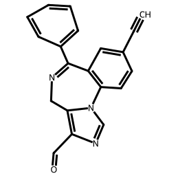 C#Cc1ccc2c(c1)C(c1ccccc1)=NCc1c(C=O)ncn1-2